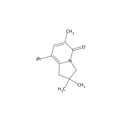 Cc1cc(C(C)C)c2n(c1=O)CC(C)(C)C2